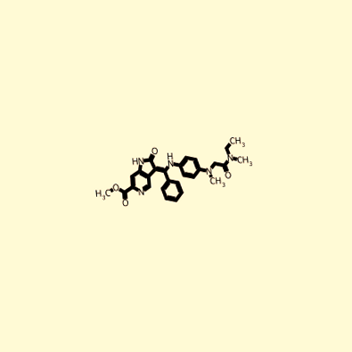 CCN(C)C(=O)CN(C)c1ccc(N/C(=C2\C(=O)Nc3cc(C(=O)OC)ncc32)c2ccccc2)cc1